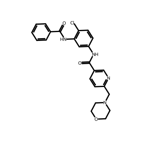 O=C(Nc1ccc(Cl)c(NC(=O)c2ccccc2)c1)c1ccc(CN2CCOCC2)nc1